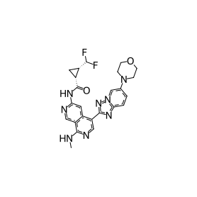 CNc1ncc(-c2nc3ccc(N4CCOCC4)cn3n2)c2cc(NC(=O)[C@@H]3C[C@@H]3C(F)F)ncc12